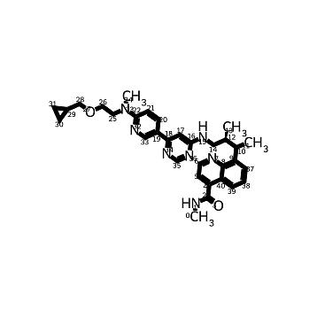 CNC(=O)c1ccnc2c(C(C)[C@H](C)CNc3cc(-c4ccc(N(C)CCOCC5CC5)nc4)ncn3)cccc12